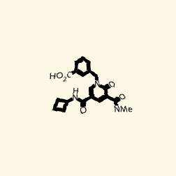 CNC(=O)c1cc(C(=O)NC2CCC2)cn(Cc2cccc(C(=O)O)c2)c1=O